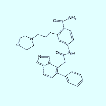 NC(=O)c1ccc(NC(=O)Cc2c(-c3ccccc3)ccc3cncn23)cc1CCCN1CCOCC1